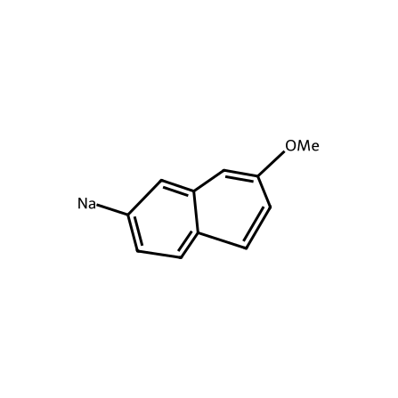 COc1ccc2cc[c]([Na])cc2c1